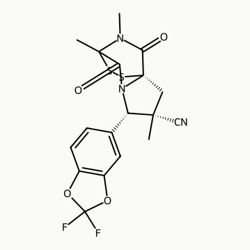 CN1C(=O)[C@@]23C[C@](C)(C#N)[C@H](c4ccc5c(c4)OC(F)(F)O5)N2C(=O)C1(C)SS3